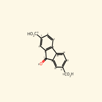 O=C(O)c1ccc2c(c1)C(=O)c1cc(C(=O)O)ccc1-2